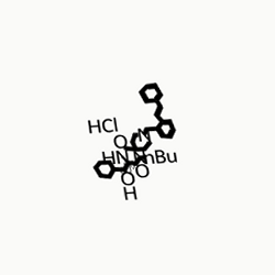 CCCCN1C(=O)[C@@H]([C@H](O)C2CCCCC2)NC(=O)C12CCN(Cc1ccccc1C=Cc1ccccc1)CC2.Cl